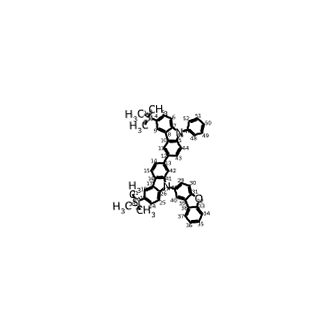 C[Si](C)(C)c1ccc2c(c1)c1cc(-c3ccc4c5cc([Si](C)(C)C)ccc5n(-c5ccc6oc7ccccc7c6c5)c4c3)ccc1n2-c1ccccc1